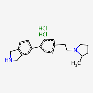 CC1CCCN1CCc1ccc(-c2ccc3c(c2)CNC3)cc1.Cl.Cl